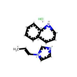 CC=Cn1ccnc1.Cl.c1ccc2ncccc2c1